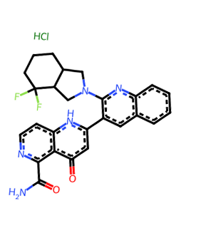 Cl.NC(=O)c1nccc2[nH]c(-c3cc4ccccc4nc3N3CC4CCCC(F)(F)C4C3)cc(=O)c12